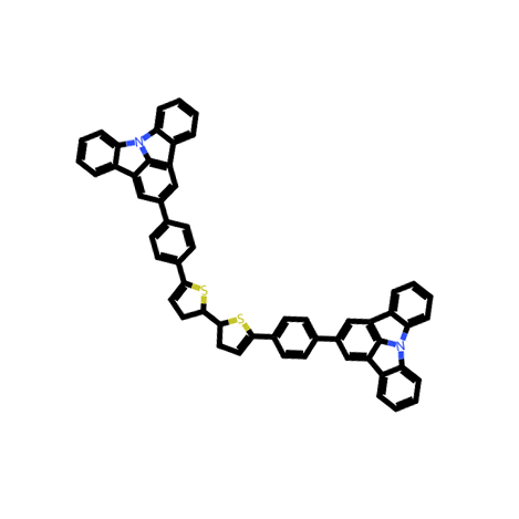 C1=C(c2ccc(-c3cc4c5ccccc5n5c6ccccc6c(c3)c45)cc2)SC(C2CC=C(c3ccc(-c4cc5c6ccccc6n6c7ccccc7c(c4)c56)cc3)S2)C1